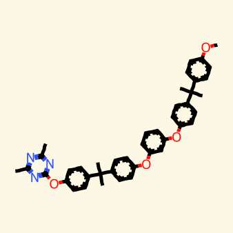 COc1ccc(C(C)(C)c2ccc(Oc3cccc(Oc4ccc(C(C)(C)c5ccc(Oc6nc(C)nc(C)n6)cc5)cc4)c3)cc2)cc1